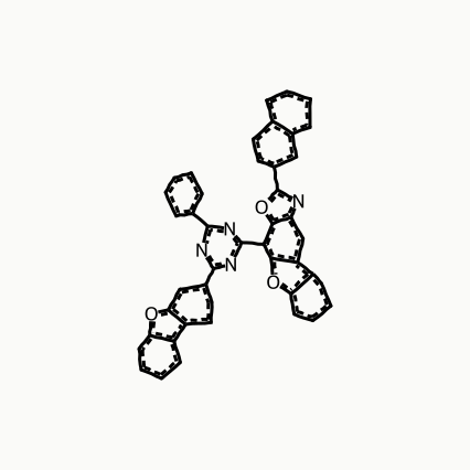 c1ccc(-c2nc(-c3ccc4c(c3)oc3ccccc34)nc(-c3c4oc(-c5ccc6ccccc6c5)nc4cc4c3oc3ccccc34)n2)cc1